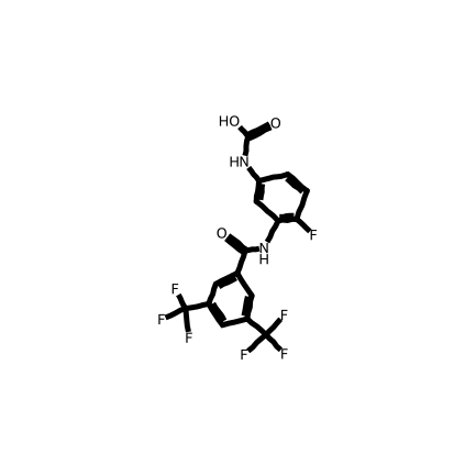 O=C(O)Nc1ccc(F)c(NC(=O)c2cc(C(F)(F)F)cc(C(F)(F)F)c2)c1